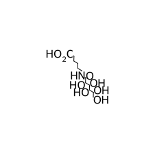 O=C(O)CCCCCNC(=O)C(O)C(O)C(O)C(O)CO